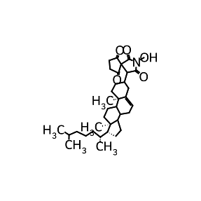 CC(C)CCC[C@@H](C)[C@H]1CCC2C3CC=C4CC(C5C(=O)N(O)C(=O)C56C(=O)CCC6=O)CC[C@]4(C)C3CC[C@@]21C